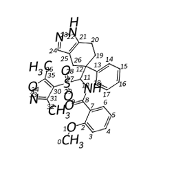 COc1ccccc1C(=O)NC(C1(c2ccccc2)CCc2[nH]ncc2C1)S(=O)(=O)c1c(C)noc1C